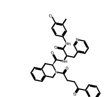 Cc1cc(NC(=O)C(Cc2cccnc2)NC(=O)[C@@H]2Cc3ccccc3CN2C(=O)CCC(=O)c2ccccc2)ccc1Cl